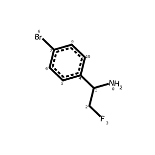 NC(CF)c1ccc(Br)cc1